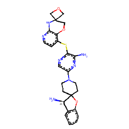 Nc1nc(N2CCC3(CC2)Oc2ccccc2[C@H]3N)cnc1Sc1ccnc2c1OCC1(COC1)N2